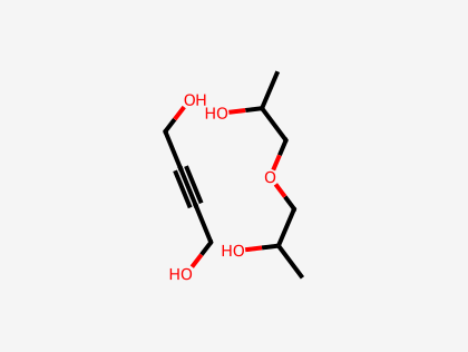 CC(O)COCC(C)O.OCC#CCO